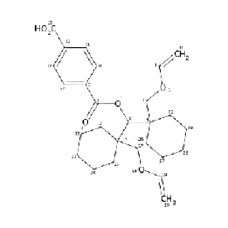 C=COCC1(C(OC(=O)c2ccc(C(=O)O)cc2)C2(COC=C)CCCCC2)CCCCC1